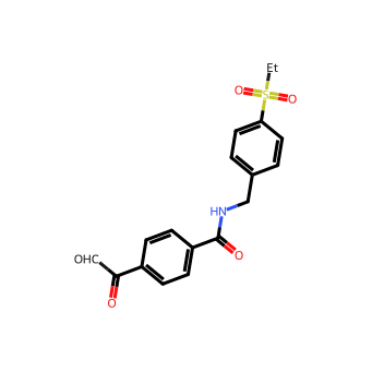 CCS(=O)(=O)c1ccc(CNC(=O)c2ccc(C(=O)C=O)cc2)cc1